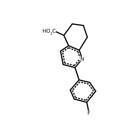 O=C(O)C1CCCc2nc(-c3ccc(F)cc3)ccc21